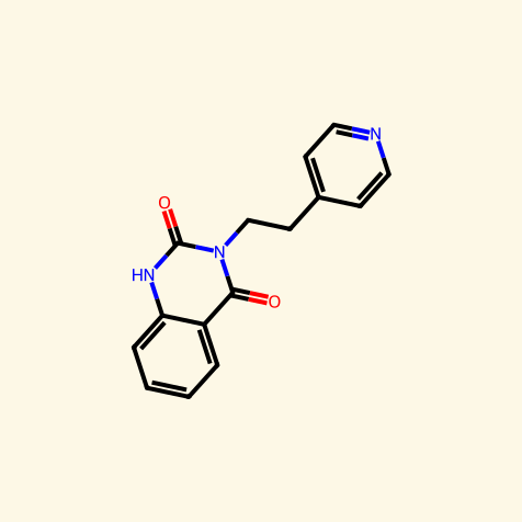 O=c1[nH]c2ccccc2c(=O)n1CCc1ccncc1